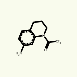 Nc1ccc2c(c1)N(C(=O)C(F)(F)F)CCC2